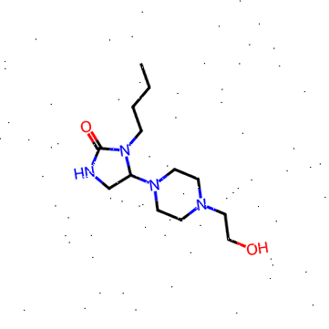 CCCCN1C(=O)NCC1N1CCN(CCO)CC1